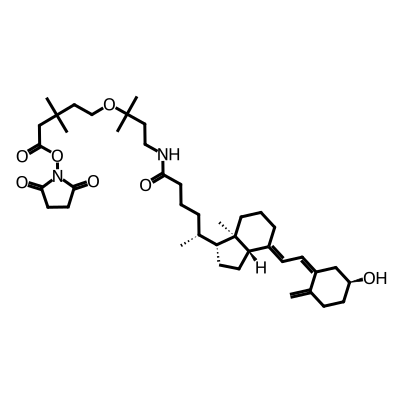 C=C1CC[C@H](O)C/C1=C/C=C1\CCC[C@]2(C)[C@@H]([C@H](C)CCCC(=O)NCCC(C)(C)OCCC(C)(C)CC(=O)ON3C(=O)CCC3=O)CC[C@@H]12